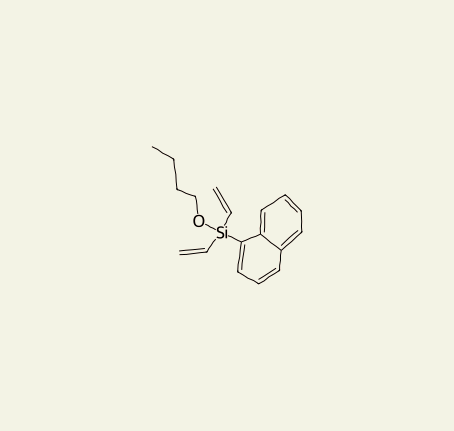 C=C[Si](C=C)(OCCCC)c1cccc2ccccc12